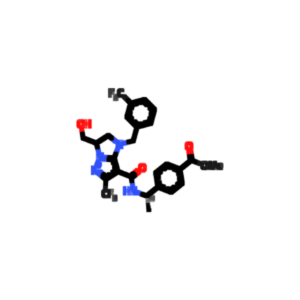 COC(=O)c1ccc([C@H](C)NC(=O)c2c(C(F)(F)F)nn3c2N(Cc2cccc(C(F)(F)F)c2)CC3CO)cc1